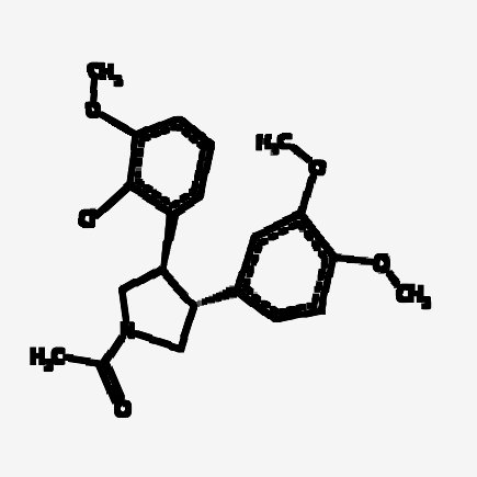 COc1ccc([C@@H]2CN(C(C)=O)C[C@H]2c2cccc(OC)c2Cl)cc1OC